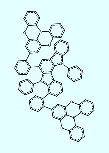 c1ccc(-n2c3c(-c4ccccc4-c4cc5c6c(c4)Oc4ccccc4B6c4ccccc4O5)cccc3c3c2c(-c2ccccc2-c2cc4c5c(c2)Oc2ccccc2B5c2ccccc2O4)cc2c4ccccc4n(-c4ccccc4)c23)cc1